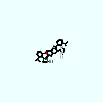 CC(C)c1cccc(C(C)C)c1N1C=CNC1=C1CC=c2ccc(=C3NC=CN3c3c(C(C)C)cccc3C(C)C)cc2C1